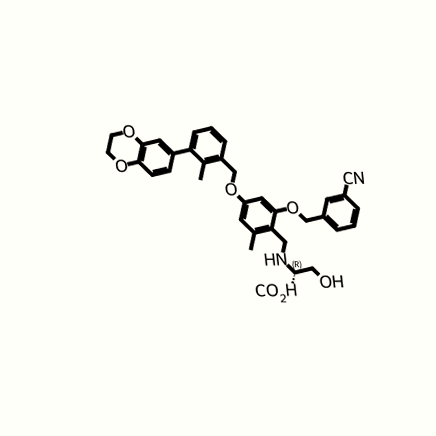 Cc1cc(OCc2cccc(-c3ccc4c(c3)OCCO4)c2C)cc(OCc2cccc(C#N)c2)c1CN[C@H](CO)C(=O)O